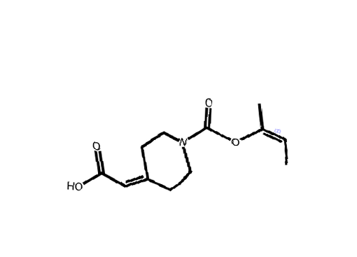 C/C=C(/C)OC(=O)N1CCC(=CC(=O)O)CC1